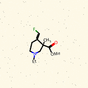 CCN1CC/C(=C\F)[C@](C)(C(=O)OC)C1